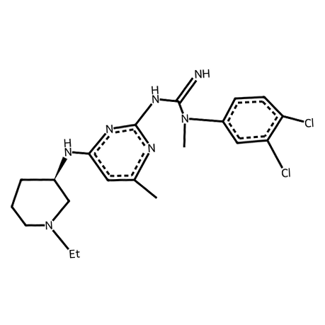 CCN1CCC[C@@H](Nc2cc(C)nc(NC(=N)N(C)c3ccc(Cl)c(Cl)c3)n2)C1